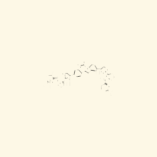 COC(=O)N[C@H](C(=O)N1CCC[C@@H]1c1ncc(-c2ccc3c(c2)nc(C)n2c4ccc(-c5cnc([C@@H]6CCCN6C(=O)[C@@H](NC(=O)OC)C(C)C)[nH]5)cc4cc32)[nH]1)C(C)C